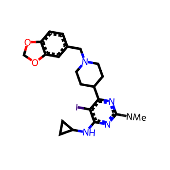 CNc1nc(NC2CC2)c(I)c(C2CCN(Cc3ccc4c(c3)OCO4)CC2)n1